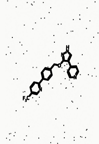 FC(F)(F)c1ccc(-c2ccc(COc3n[nH]cc3-c3ccncc3)cc2)nc1